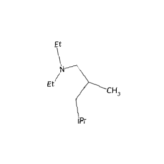 CCN(CC)CC(C)CC(C)C